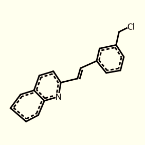 ClCc1cccc(/C=C/c2ccc3ccccc3n2)c1